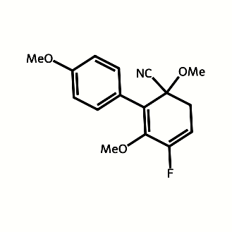 COC1=C(c2ccc(OC)cc2)C(C#N)(OC)CC=C1F